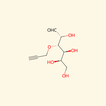 C#CCO[C@@H]([C@@H](O)[C@H](O)CO)[C@@H](O)C=O